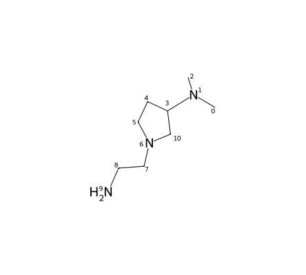 CN(C)C1CCN(CCN)C1